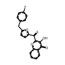 O=c1c(O)c(C(=S)c2ccc(Cc3ccc(F)cc3)o2)oc2ccccc12